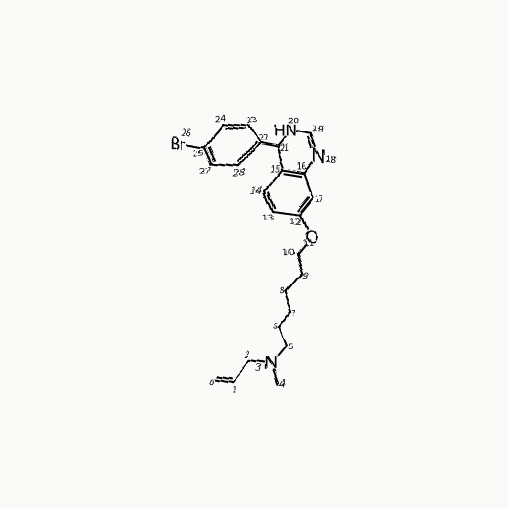 C=CCN(C)CCCCCCOc1ccc2c(c1)N=CNC2c1ccc(Br)cc1